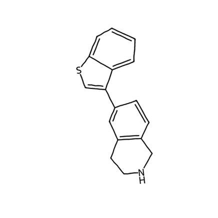 c1ccc2c(-c3ccc4c(c3)CCNC4)csc2c1